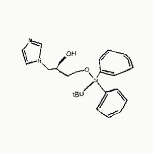 CC(C)(C)[Si](OC[C@H](O)Cn1ccnc1)(c1ccccc1)c1ccccc1